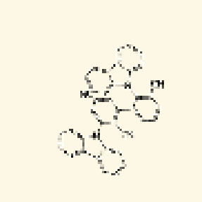 N#Cc1cc(-c2cccc(C#N)c2-n2c3ccccc3c3ccccc32)c(C#N)c(-n2c3ccccc3c3ccccc32)c1